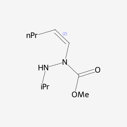 CCC/C=C\N(NC(C)C)C(=O)OC